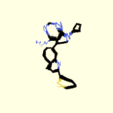 Nc1ncnc2c1c(-c1ccc3ccc(-c4cccs4)nc3c1)cn2C1CCC1